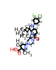 Cc1cc(N2CCN(C(=O)c3ccc4c(n3)C3(CN4c4ccc(Cl)c(F)c4)CC(C)(C)C3)C(C)(C)C2)nc(C)c1C(=O)O